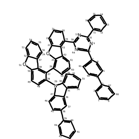 c1ccc(-c2ccc(-c3nc(-c4ccccc4)nc(-c4cccc5oc6c(-c7c(-n8c9ccccc9c9cc(-c%10ccccc%10)ccc98)ccc8oc9ccccc9c78)cccc6c45)n3)cc2)cc1